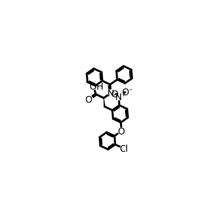 O=C(O)[C@H](Cc1cc(Oc2ccccc2Cl)ccc1[N+](=O)[O-])N=C(c1ccccc1)c1ccccc1